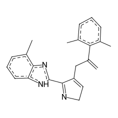 C=C(CC1=CCN=C1c1nc2c(C)cccc2[nH]1)c1c(C)cccc1C